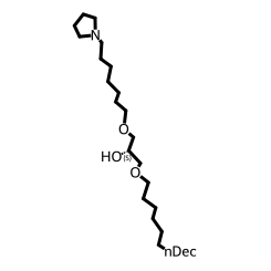 CCCCCCCCCCCCCCCCOC[C@H](O)COCCCCCCCN1CCCC1